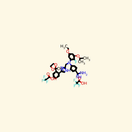 CCOc1cc(OC(C)C)c(F)c(N(Cc2nc(-c3ccccc3C3(C)OCCO3)c[nH]2)c2ccc(C(=N)N)cc2)c1.O=C(O)C(F)(F)F.O=C(O)C(F)(F)F